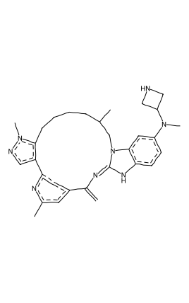 C=C1/N=C2\Nc3ccc(N(C)C4CNC4)cc3N2CC(C)CCCCc2c(cnn2C)-c2cc1cc(C)n2